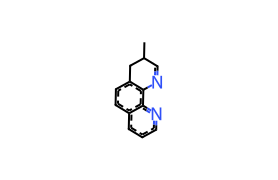 CC1C=Nc2c(ccc3cccnc23)C1